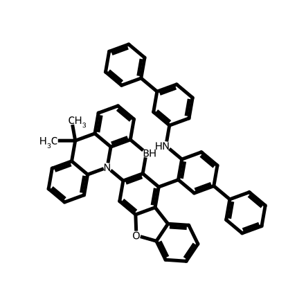 CC1(C)c2ccccc2N2c3cc4oc5ccccc5c4c(-c4cc(-c5ccccc5)ccc4Nc4cccc(-c5ccccc5)c4)c3Bc3cccc1c32